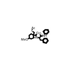 COC1CCC(CSC(C)=O)(C(=O)NC(Cc2ccccc2)C(=O)Nc2ccccc2)CC1